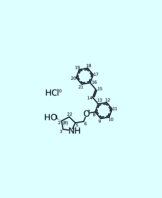 Cl.O[C@H]1CNC(COc2ccccc2C=Cc2ccccc2)C1